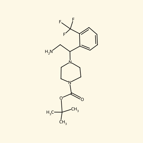 CC(C)(C)OC(=O)N1CCN(C(CN)c2ccccc2C(F)(F)F)CC1